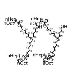 CCCCCCCCSC(CCCCCCC)O[Si](C)(C)OCCCCCCN(CCCCO)CCCCCCOC(=O)C(CCCCCC)CCCCCCCC.CCCCCCCCSC(CCCCCCC)O[Si](C)(C)OCCCCCCN(CCCCO)CCCCCCOC(=O)C(CCCCCC)CCCCCCCC